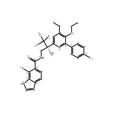 CCOc1c(CC)cc([C@@](O)(CNC(=O)c2ccc3cc[nH]c3c2F)C(F)(F)F)nc1-c1ccc(F)cc1